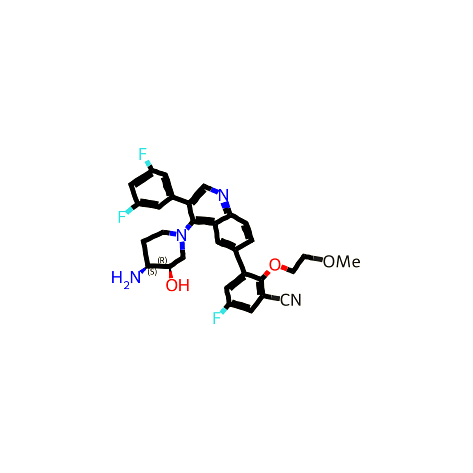 COCCOc1c(C#N)cc(F)cc1-c1ccc2ncc(-c3cc(F)cc(F)c3)c(N3CC[C@H](N)[C@H](O)C3)c2c1